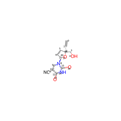 C#C[C@@]1(CO)C=C[C@H](n2cc(C#N)c(=O)[nH]c2=O)O1